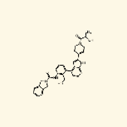 CC(O)C(=O)N1CC=C(c2cc3c(-c4cccc(NC(=O)N5Cc6ccccc6C5)c4CO)ccnc3[nH]2)CC1